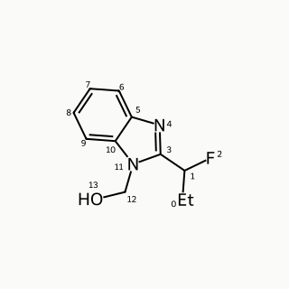 CCC(F)c1nc2ccccc2n1CO